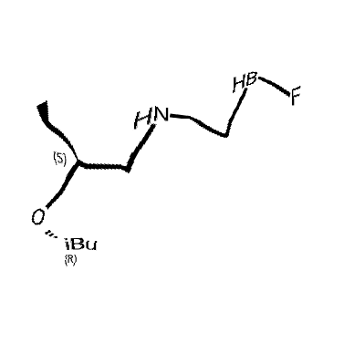 CC[C@@H](C)O[C@@H](C)CNCBF